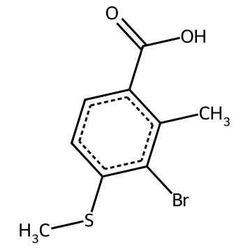 CSc1ccc(C(=O)O)c(C)c1Br